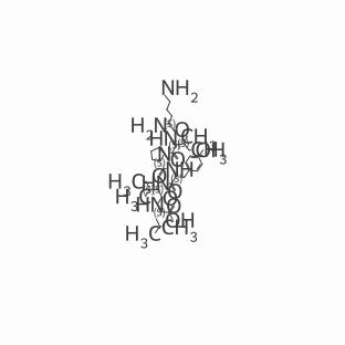 CC[C@H](C)[C@H](NC(=O)[C@H](Cc1ccc(O)cc1)NC(=O)[C@@H]1CCCN1C(=O)[C@@H](NC(=O)[C@@H](N)CCCCN)[C@@H](C)CC)C(=O)N[C@@H](CC(C)C)C(=O)O